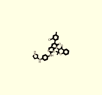 Cc1ccc(-c2cc3cnc(Nc4ccc(NC5CCNC5)cc4)nc3n(C3C(=O)c4ccccc4OC3(C)C)c2=O)c(Cl)c1